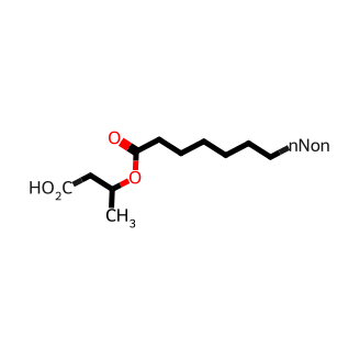 CCCCCCCCCCCCCCCC(=O)OC(C)CC(=O)O